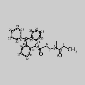 CCC(=O)NCCC(=O)Oc1ccccc1P(c1ccccc1)c1ccccc1